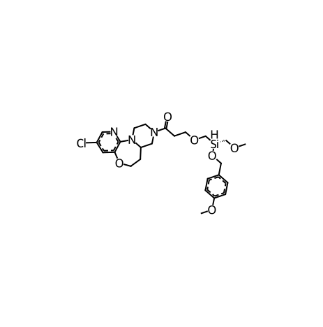 COC[Si@@H](COCCC(=O)N1CCN2c3ncc(Cl)cc3OCCC2C1)OCc1ccc(OC)cc1